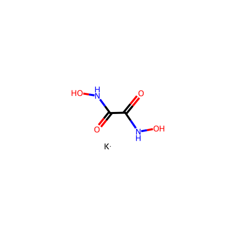 O=C(NO)C(=O)NO.[K]